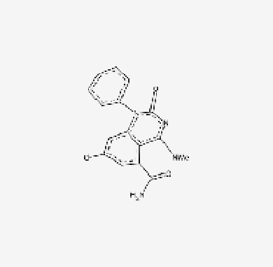 CNc1nc(=O)n(-c2ccccc2)c2cc(Cl)cc(C(N)=O)c12